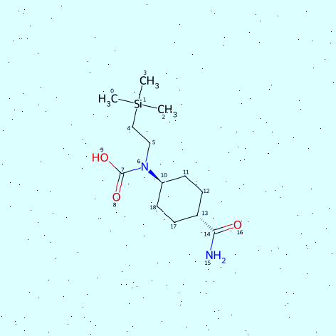 C[Si](C)(C)CCN(C(=O)O)[C@H]1CC[C@H](C(N)=O)CC1